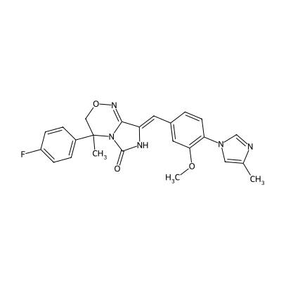 COc1cc(/C=c2\[nH]c(=O)n3c2=NOCC3(C)c2ccc(F)cc2)ccc1-n1cnc(C)c1